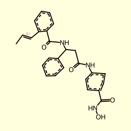 C/C=C/c1ccccc1C(=O)NC(CC(=O)Nc1ccc(C(=O)NO)cc1)c1ccccc1